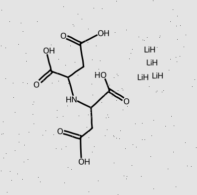 O=C(O)CC(NC(CC(=O)O)C(=O)O)C(=O)O.[LiH].[LiH].[LiH].[LiH]